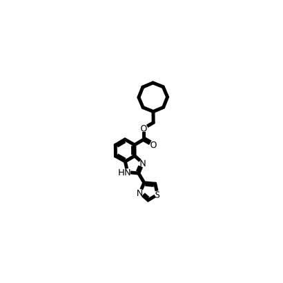 O=C(OCC1CCCCCCC1)c1cccc2[nH]c(-c3cscn3)nc12